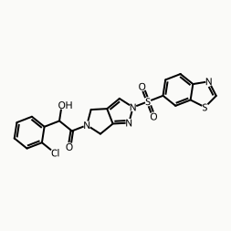 O=C(C(O)c1ccccc1Cl)N1Cc2cn(S(=O)(=O)c3ccc4ncsc4c3)nc2C1